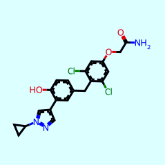 NC(=O)COc1cc(Cl)c(Cc2ccc(O)c(-c3cnn(C4CC4)c3)c2)c(Cl)c1